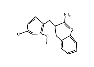 COc1cc(Cl)ccc1CN1Cc2ccccc2N=C1N